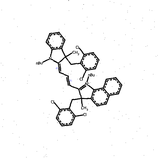 CCCCN1/C(=C/C=C/C2=[N+](CCCC)c3c(ccc4ccccc34)C2(C)Cc2c(Cl)cccc2Cl)C(C)(Cc2c(Cl)cccc2Cl)c2ccccc21